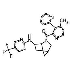 Cc1ccnc(C(=O)N2CC3CC34CC(Nc3ccc(C(F)(F)F)cn3)C24)c1-c1ccccn1